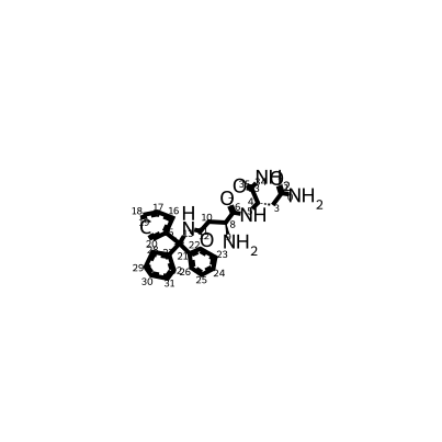 NC(=O)C[C@H](NC(=O)[C@@H](N)CC(=O)NC(c1ccccc1)(c1ccccc1)c1ccccc1)C(N)=O